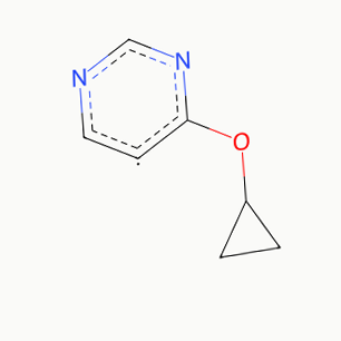 [c]1cncnc1OC1CC1